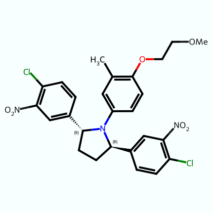 COCCOc1ccc(N2[C@@H](c3ccc(Cl)c([N+](=O)[O-])c3)CC[C@@H]2c2ccc(Cl)c([N+](=O)[O-])c2)cc1C